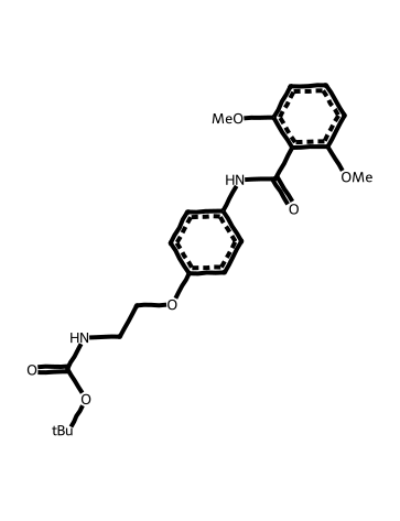 COc1cccc(OC)c1C(=O)Nc1ccc(OCCNC(=O)OC(C)(C)C)cc1